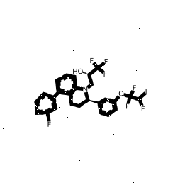 O[C@@H](CN1c2cccc(-c3cccc(F)c3)c2CC[C@@H]1c1cccc(OC(F)(F)C(F)F)c1)C(F)(F)F